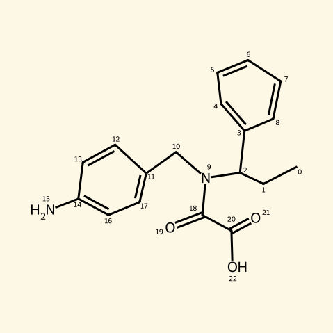 CCC(c1ccccc1)N(Cc1ccc(N)cc1)C(=O)C(=O)O